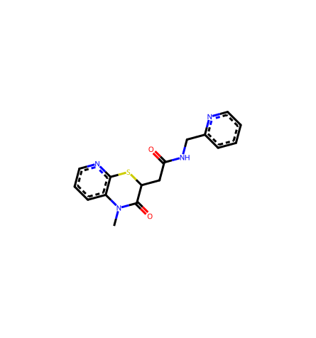 CN1C(=O)C(CC(=O)NCc2ccccn2)Sc2ncccc21